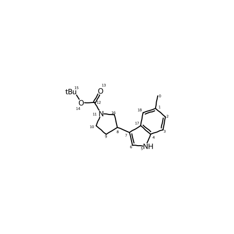 Cc1ccc2[nH]cc(C3CCN(C(=O)OC(C)(C)C)C3)c2c1